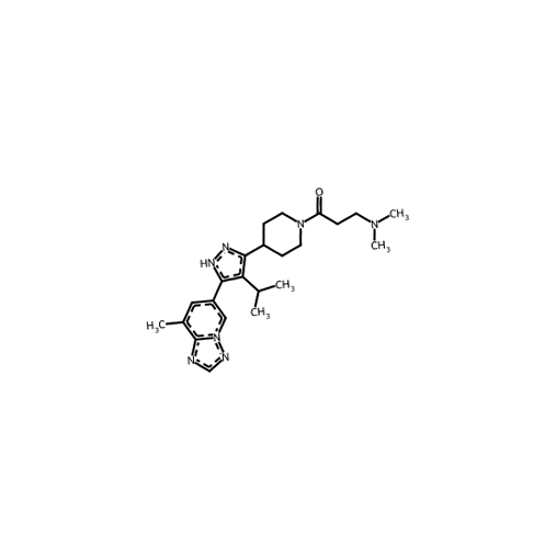 Cc1cc(-c2[nH]nc(C3CCN(C(=O)CCN(C)C)CC3)c2C(C)C)cn2ncnc12